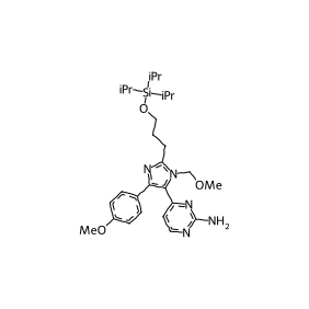 COCn1c(CCCO[Si](C(C)C)(C(C)C)C(C)C)nc(-c2ccc(OC)cc2)c1-c1ccnc(N)n1